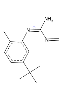 C=N/C(N)=N\c1cc(C(C)(C)C)ccc1C